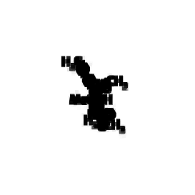 C=CC(=O)Nc1cc(Nc2ncc(F)c(Nc3ccccc3P(C)(C)=O)n2)c(OC)cc1N1CCC(N2CCN(C)CC2)CC1